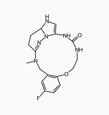 CN1Cc2cc(F)ccc2OCCNC(=O)NC2=CNC3CCC1=NN23